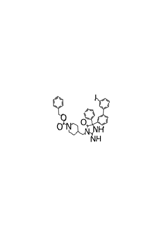 N=C1NC(c2ccccc2)(c2cccc(-c3cccc(I)c3)c2)C(=O)N1CC1CCN(C(=O)OCc2ccccc2)CC1